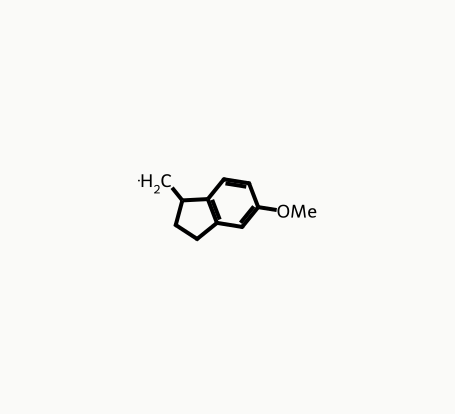 [CH2]C1CCc2cc(OC)ccc21